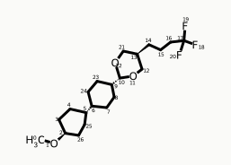 CO[C@H]1CC[C@H](C2CCC([C@H]3OC[C@H](CCCC(F)(F)F)CO3)CC2)CC1